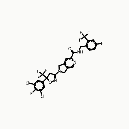 O=C(NCc1ccc(F)cc1C(F)(F)F)c1cc2c(cn1)CN(C1=NOC(c3cc(Cl)c(F)c(Cl)c3)(C(F)(F)F)C1)C2